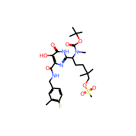 Cc1cc(CNC(=O)c2nc(C(CCC(C)(C)COS(C)(=O)=O)N(C)C(=O)OC(C)(C)C)[nH]c(=O)c2O)ccc1F